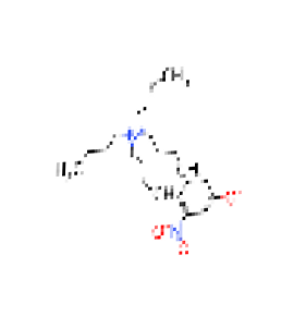 CCCC[N+](CCCC)(CCCC)CCCC.O=[N+]([O-])c1cccc([O-])c1